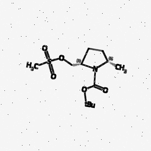 C[C@H]1CC[C@@H](COS(C)(=O)=O)N1C(=O)OC(C)(C)C